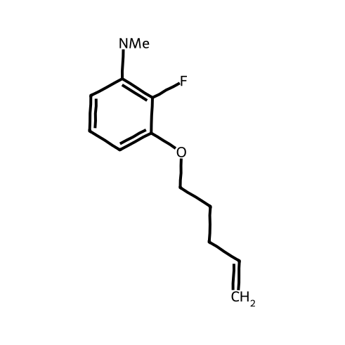 C=CCCCOc1cccc(NC)c1F